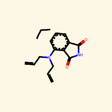 C=CCN(CC=C)c1cccc2c1C(=O)NC2=O.CCC